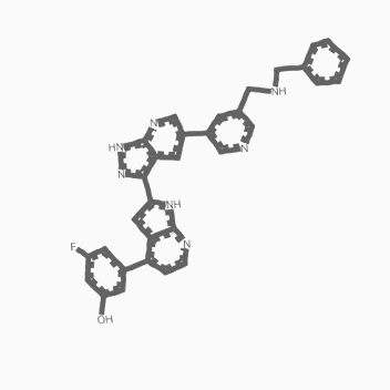 Oc1cc(F)cc(-c2ccnc3[nH]c(-c4n[nH]c5ncc(-c6cncc(CNCc7ccccc7)c6)cc45)cc23)c1